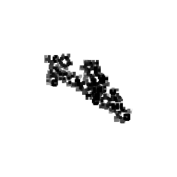 Cc1ccccc1[C@H]1CCC2(CCOC2)N1C1CC2(CCN(c3ccc(C(=O)NS(=O)(=O)c4ccc(NCC5CCOCC5)c([N+](=O)[O-])c4)c(N4c5cc6cc[nH]c6nc5O[C@@H]5COC[C@H]54)c3)CC2)C1